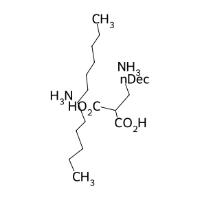 CCCCCCCCCCCC.CCCCCCCCCCCC(C(=O)O)C(=O)O.N.N